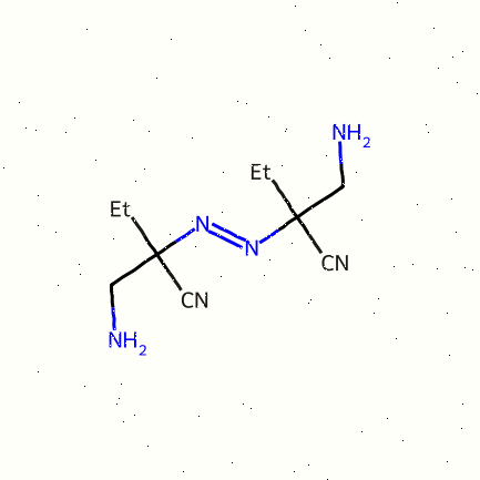 CCC(C#N)(CN)N=NC(C#N)(CC)CN